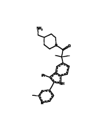 Cc1cc(-c2[nH]c3ccc(C(C)(C)C(=O)N4CCC(CN)CC4)cc3c2C(C)C)ccn1